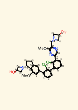 COc1cc(-c2cccc(-c3cccc(-c4cnc(CN5CC(O)C5)c(OC)n4)c3Cl)c2Cl)cc2c1[C@H](N1CC(O)C1)CC2